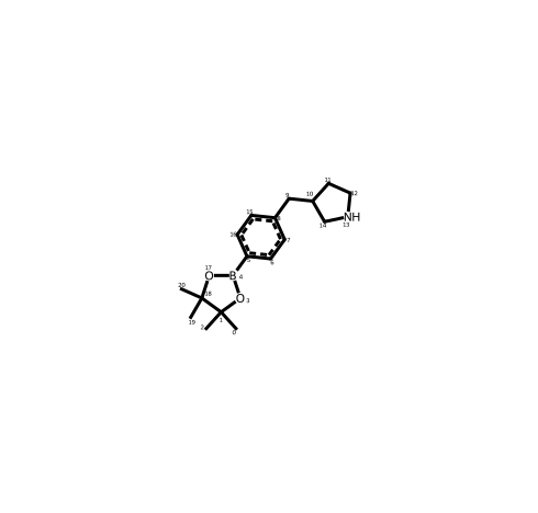 CC1(C)OB(c2ccc(CC3CCNC3)cc2)OC1(C)C